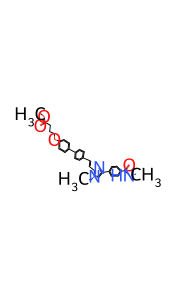 CCn1cc(-c2ccc(C(=O)NC)cc2)nc1C=Cc1ccc(-c2ccc(OCCCC(=O)OC)cc2)cc1